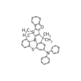 CC1(C)C2=C(B3c4ccccc4Sc4cc(N(c5ccccc5)c5ccccc5)cc1c43)[Si](C)(C)c1c2oc2ccccc12